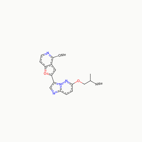 CNC(C)COc1ccc2ncc(-c3cc4c(OC)nccc4o3)n2n1